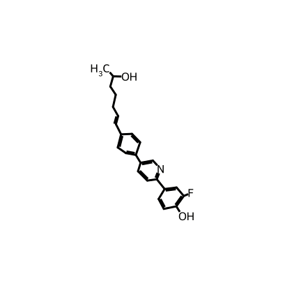 CC(O)CCC/C=C/c1ccc(-c2ccc(-c3ccc(O)c(F)c3)nc2)cc1